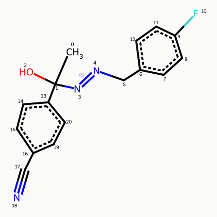 CC(O)(/N=N/Cc1ccc(F)cc1)c1ccc(C#N)cc1